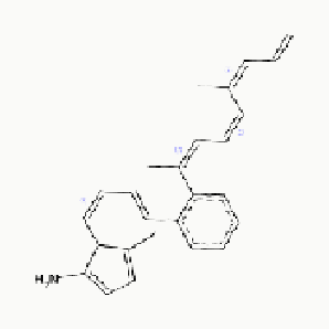 C=C\C=C(C)/C=C\C=C(\C)c1ccccc1C=C/C=C\C1C(C)=CC=C1N